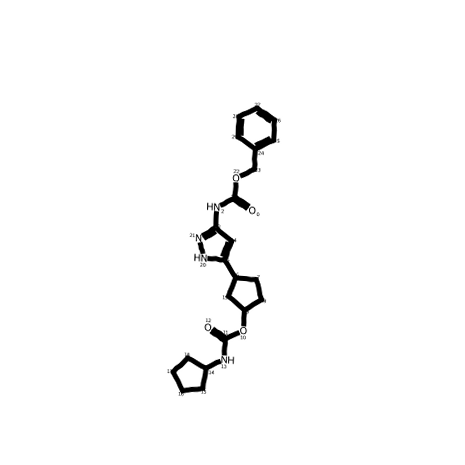 O=C(Nc1cc(C2CCC(OC(=O)NC3CCCC3)C2)[nH]n1)OCc1ccccc1